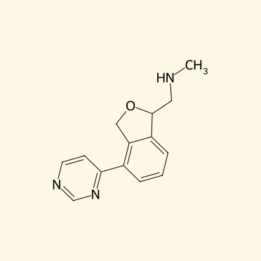 CNCC1OCc2c(-c3ccncn3)cccc21